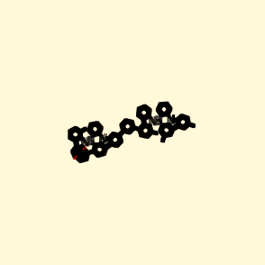 Cc1ccc2c(c1)c1cc(C)cc3c1n2-c1ccccc1B3n1c2ccccc2c2c(-c3cccc(-c4ccc5c6ccc(-c7ccccc7)c7c6n(c5c4)-c4ccccc4B7n4c5ccccc5c5cccc(C)c54)c3)ccc(C)c21